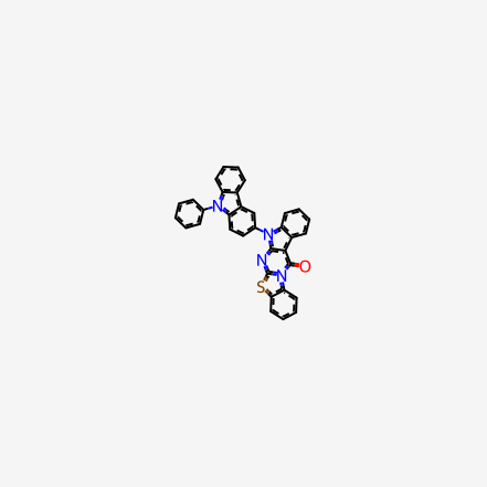 O=c1c2c3ccccc3n(-c3ccc4c(c3)c3ccccc3n4-c3ccccc3)c2nc2sc3ccccc3n12